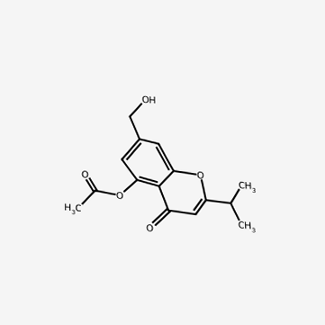 CC(=O)Oc1cc(CO)cc2oc(C(C)C)cc(=O)c12